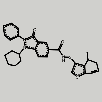 CC1CC=Cc2scc(SNC(=O)c3ccc4c(c3)c(=O)n(-c3ccccc3)n4C3CCCCC3)c21